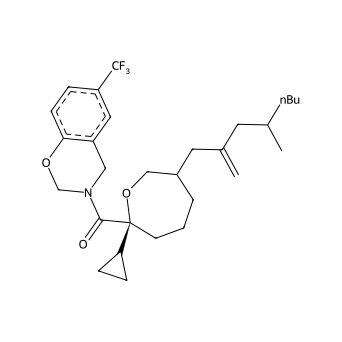 C=C(CC(C)CCCC)CC1CCC[C@@](C(=O)N2COc3ccc(C(F)(F)F)cc3C2)(C2CC2)OC1